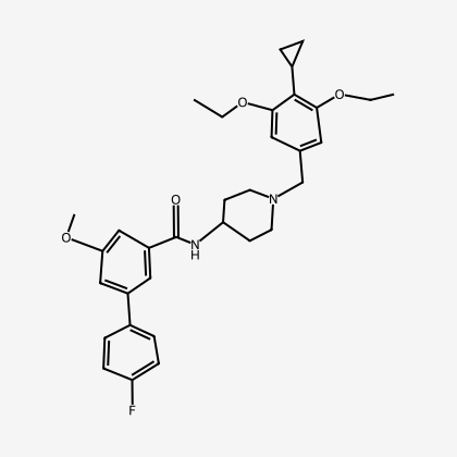 CCOc1cc(CN2CCC(NC(=O)c3cc(OC)cc(-c4ccc(F)cc4)c3)CC2)cc(OCC)c1C1CC1